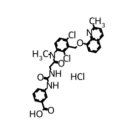 Cc1ccc2cccc(OCc3c(Cl)ccc(N(C)C(=O)CNC(=O)Nc4cccc(C(=O)O)c4)c3Cl)c2n1.Cl